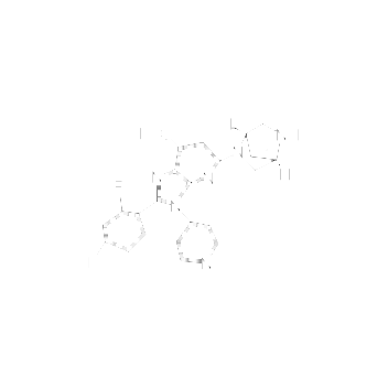 Cc1cc(N2C[C@@H]3C[C@H]2CN3)nc2c1nc(-c1ccc(F)cc1F)n2-c1ccncc1